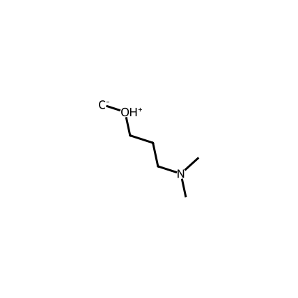 [CH2-][OH+]CCCN(C)C